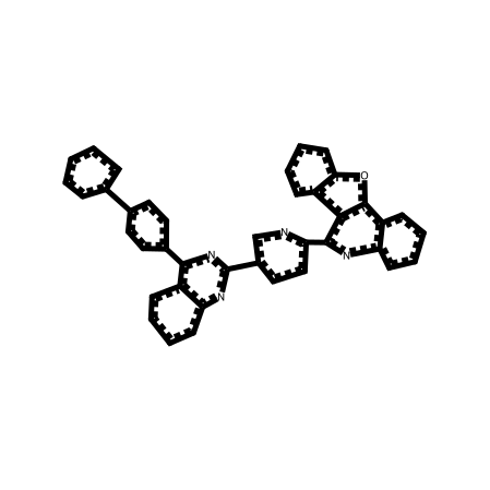 c1ccc(-c2ccc(-c3nc(-c4ccc(-c5nc6ccccc6c6oc7ccccc7c56)nc4)nc4ccccc34)cc2)cc1